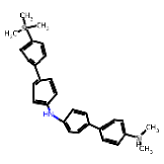 C[SiH](C)c1ccc(-c2ccc(Nc3ccc(-c4ccc([Si](C)(C)C)cc4)cc3)cc2)cc1